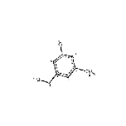 Cc1cc(C[O])cc(Cl)n1